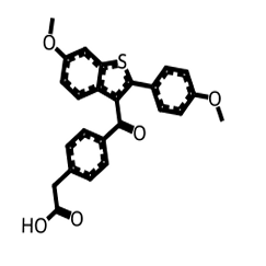 COc1ccc(-c2sc3cc(OC)ccc3c2C(=O)c2ccc(CC(=O)O)cc2)cc1